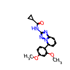 COc1ccc(-c2cccc3nc(NC(=O)C4CC4)nn23)c(OC)c1